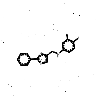 Fc1ccc(NCc2coc(-c3ccccc3)n2)cc1Cl